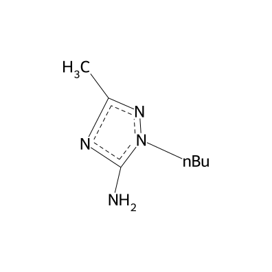 CCCCn1nc(C)nc1N